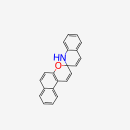 C1=CC2(C=Cc3c(ccc4ccccc34)O2)Nc2ccccc21